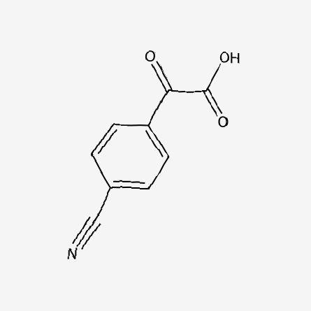 N#Cc1ccc(C(=O)C(=O)O)cc1